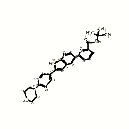 CC(C)(C#N)NC(=O)c1cccc(-c2cnc3[nH]c(-c4cnc(N5CCOCC5)nc4)cc3c2)n1